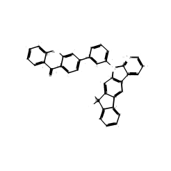 CC1(C)c2ccccc2-c2cc3c4cccnc4n(-c4cccc(-c5ccc6c(=O)c7ccccc7oc6c5)c4)c3cc21